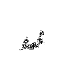 CCC(=O)OCO/N=[N+](\[O-])N(CC)CCOC(=O)NS(=O)(=O)c1ccc(-n2nc(C(F)(F)F)cc2-c2ccc(C)cc2)cc1